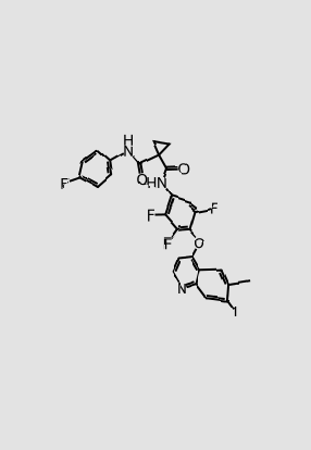 Cc1cc2c(Oc3c(F)cc(NC(=O)C4(C(=O)Nc5ccc(F)cc5)CC4)c(F)c3F)ccnc2cc1I